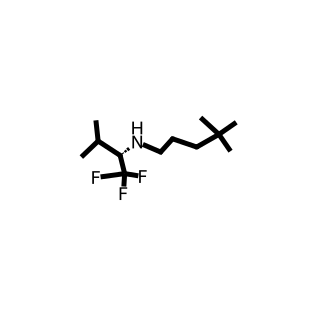 CC(C)[C@H](NCCCC(C)(C)C)C(F)(F)F